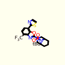 CC(C)(C)OC(=O)N1C2CCCC1CN(c1nc3c(C(F)(F)F)ccc(-c4nccs4)c3o1)C2